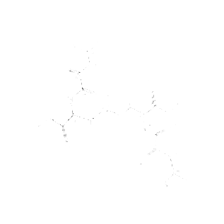 COC(=O)C(CSSCC(NC(=O)C(=O)CC(C)C)C(=O)OC)NC(=O)C(=O)CC(C)C